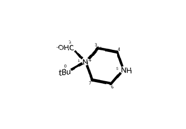 CC(C)(C)[N+]1([C]=O)CCNCC1